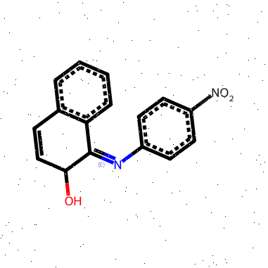 O=[N+]([O-])c1ccc(/N=C2\c3ccccc3C=CC2O)cc1